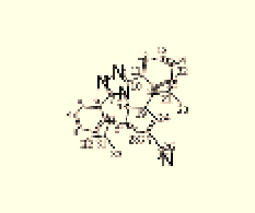 Cc1ccccc1-c1nnc(-c2cc#ccc2)n1-c1c(CC(C)C)cc(C#N)cc1CC(C)C